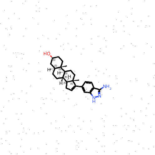 C[C@]12CC[C@H](O)C[C@@H]1CC[C@@H]1[C@@H]2CC[C@]2(C)C(c3ccc4c(N)n[nH]c4c3)=CC[C@@H]12